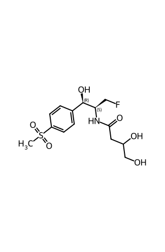 CS(=O)(=O)c1ccc([C@@H](O)[C@@H](CF)NC(=O)CC(O)CO)cc1